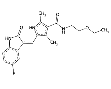 CCOCCNC(=O)c1c(C)[nH]c(/C=C2\C(=O)Nc3ccc(F)cc32)c1C